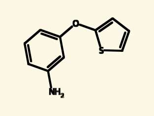 Nc1cccc(Oc2cccs2)c1